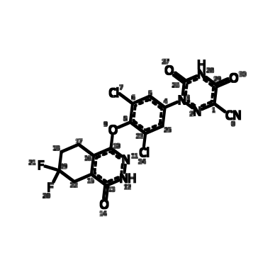 N#Cc1nn(-c2cc(Cl)c(Oc3n[nH]c(=O)c4c3CCC(F)(F)C4)c(Cl)c2)c(=O)[nH]c1=O